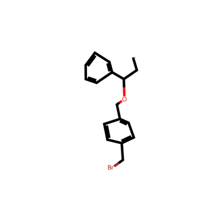 [CH2]CC(OCc1ccc(CBr)cc1)c1ccccc1